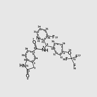 O=C1Cc2cc(C(=O)NC(c3ccc(OC(F)(F)F)cc3)c3ncccc3F)ccc2N1